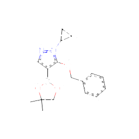 CC1(C)COB(c2cnn(C3CC3)c2OCc2ccccc2)O1